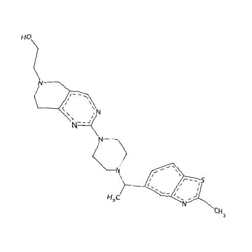 Cc1nc2cc(C(C)N3CCN(c4ncc5c(n4)CCN(CCO)C5)CC3)ccc2s1